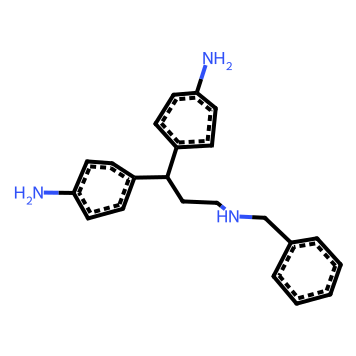 Nc1ccc(C(CCNCc2ccccc2)c2ccc(N)cc2)cc1